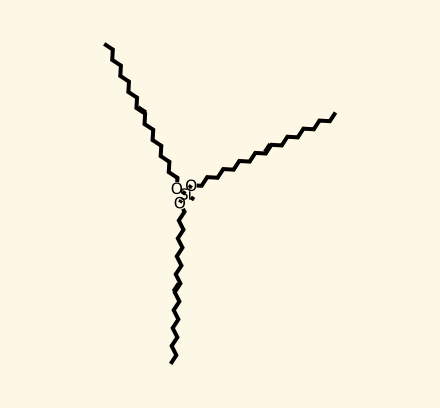 CCCCCCCCC=CCCCCCCCCO[Si](C)(OCCCCCCCCC=CCCCCCCCC)OCCCCCCCCC=CCCCCCCCC